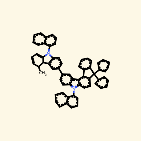 CC1C=CC=C2C1c1cc(-c3ccc4c(c3)c3c5c(ccc3n4-c3cccc4ccccc34)C(c3ccccc3)(c3ccccc3)c3ccccc3-5)ccc1N2c1cccc2ccccc12